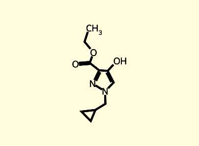 CCOC(=O)c1nn(CC2CC2)cc1O